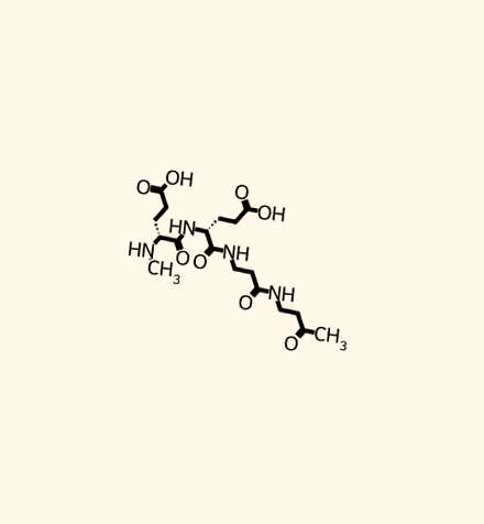 CN[C@H](CCC(=O)O)C(=O)N[C@H](CCC(=O)O)C(=O)NCCC(=O)NCCC(C)=O